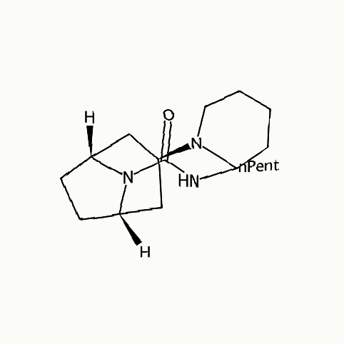 CCCCCNC(=O)N1[C@@H]2CC[C@H]1C[C@H](N1CCCCC1)C2